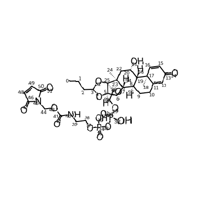 CCCC1O[C@@H]2C[C@H]3[C@@H]4CCC5=CC(=O)C=C[C@]5(C)[C@H]4[C@@H](O)C[C@]3(C)[C@]2(C(=O)COP(=O)(O)OP(=O)(O)OCCNC(=O)OCN2C(=O)C=CC2=O)O1